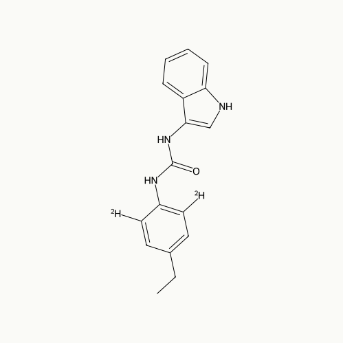 [2H]c1cc(CC)cc([2H])c1NC(=O)Nc1c[nH]c2ccccc12